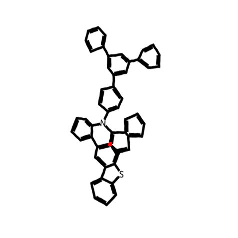 c1ccc(-c2cc(-c3ccccc3)cc(-c3ccc(N(c4ccccc4-c4ccc5sc6ccccc6c5c4)c4cccc5ccccc45)cc3)c2)cc1